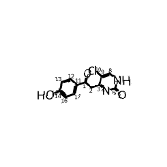 O=C(Cc1nc(=O)[nH]cc1Cl)c1ccc(O)cc1